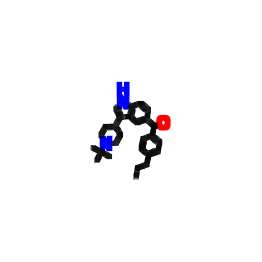 CCCc1ccc(C(=O)c2ccc3[nH]cc(C4=CCN(C(C)(C)C)CC4)c3c2)cc1